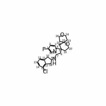 Fc1ccc(C2(CCNC3Cc4cccc(Cl)c4C3)CCOC3(CCOCC3)C2)nc1